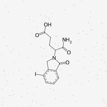 NC(=O)C(CCC(=O)O)N1Cc2c(I)cccc2C1=O